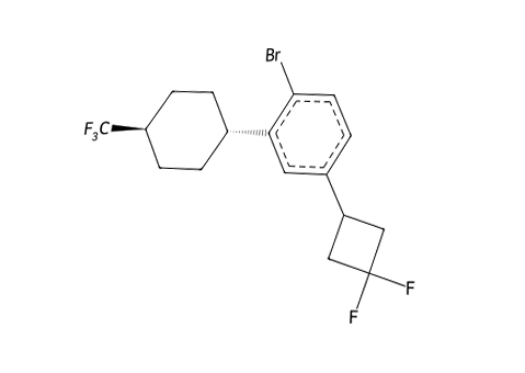 FC1(F)CC(c2ccc(Br)c([C@H]3CC[C@H](C(F)(F)F)CC3)c2)C1